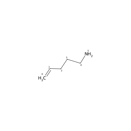 C=[C]CCCN